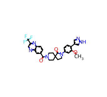 COc1cc(N2CCC3(CCN(C(=O)c4ccc5nc(C(F)(F)F)cnc5c4)CC3)C2=O)ccc1-c1cn[nH]c1